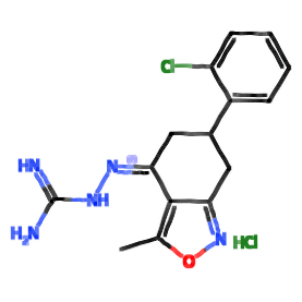 Cc1onc2c1/C(=N\NC(=N)N)CC(c1ccccc1Cl)C2.Cl